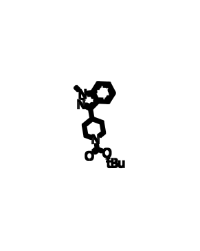 Cn1nc(C2CCN(C(=O)OC(C)(C)C)CC2)c2ccccc21